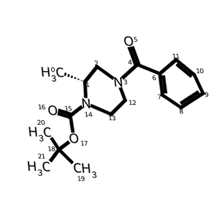 C[C@@H]1CN(C(=O)c2ccccc2)CCN1C(=O)OC(C)(C)C